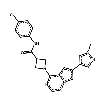 Cn1cc(-c2cc3c(N4CC(C(=O)Nc5ccc(Cl)cc5)C4)ncnn3c2)cn1